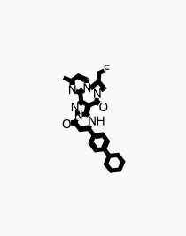 Cc1ccnc(-c2nn3c(=O)cc(-c4ccc(C5CCCCC5)cc4)[nH]c3c2C(=O)N2CC(CF)C2)n1